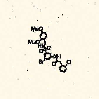 COc1ccc(CNS(=O)(=O)c2cc(Br)cc(NC(=O)Cc3ccccc3Cl)c2)c(OC)c1